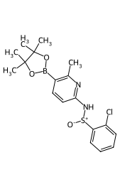 Cc1nc(N[S+]([O-])c2ccccc2Cl)ccc1B1OC(C)(C)C(C)(C)O1